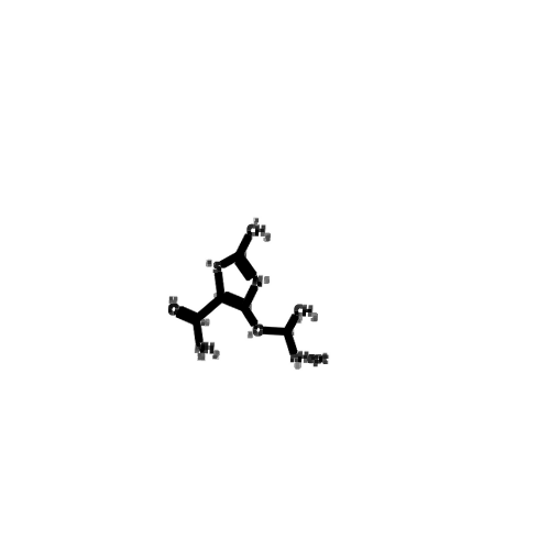 CCCCCCCC(C)Oc1nc(C)sc1C(N)=O